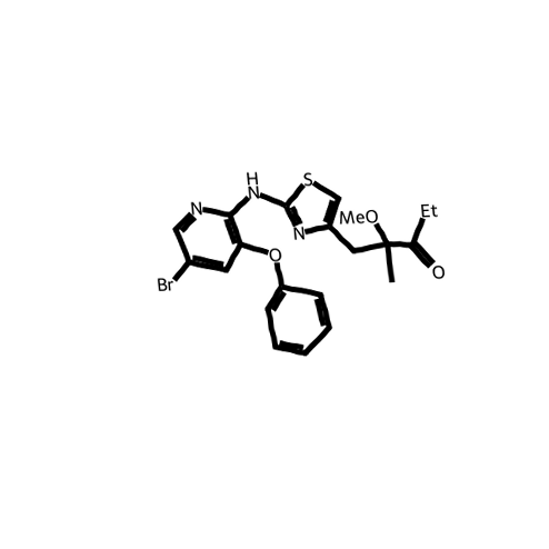 CCC(=O)C(C)(Cc1csc(Nc2ncc(Br)cc2Oc2ccccc2)n1)OC